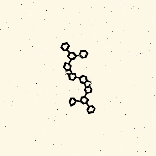 c1ccc(-c2cc(-c3ccccc3)cc(-c3ccc4sc5ccc(-c6ccc7sc8ccc(-c9cc(-c%10ccccc%10)cc(-c%10ccccc%10)c9)cc8c7c6)cc5c4c3)c2)cc1